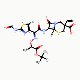 C=CC1(C(=O)O)CS[C@@H]2C(NC(=O)C(=NOC(C)C(=O)OC(C)(C)C)c3nc(NC=O)sc3Cl)C(=O)N2C1